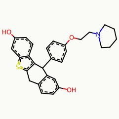 Oc1ccc2c(c1)C(c1ccc(OCCN3CCCCC3)cc1)c1c(sc3cc(O)ccc13)C2